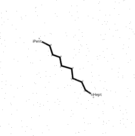 [CH2]CCCCCCCCCCCCCCC(C)CCC